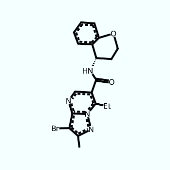 CCc1c(C(=O)N[C@H]2CCOc3ccccc32)cnc2c(Br)c(C)nn12